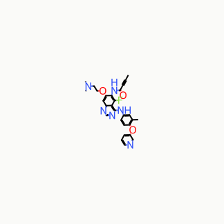 CC#CC(=O)Nc1c(OCCN(C)C)cc2ncnc(Nc3ccc(Oc4cccnc4)c(C)c3)c2c1F